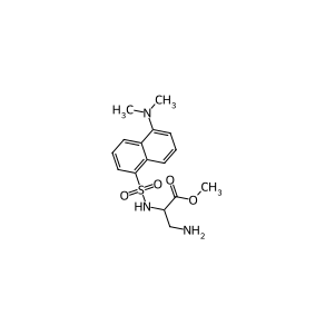 COC(=O)C(CN)NS(=O)(=O)c1cccc2c(N(C)C)cccc12